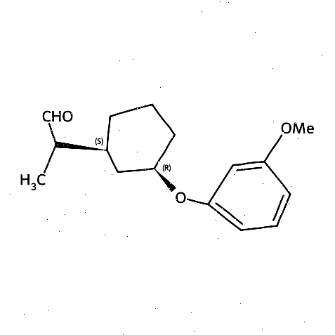 COc1cccc(O[C@@H]2CCC[C@H](C(C)C=O)C2)c1